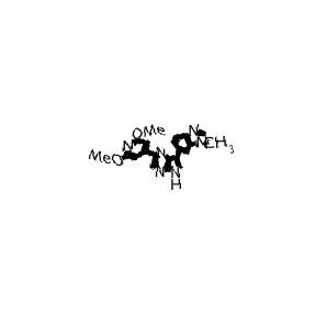 COc1cc(-c2cnc3[nH]cc(-c4ccc5ncn(C)c5c4)c3n2)cc(OC)n1